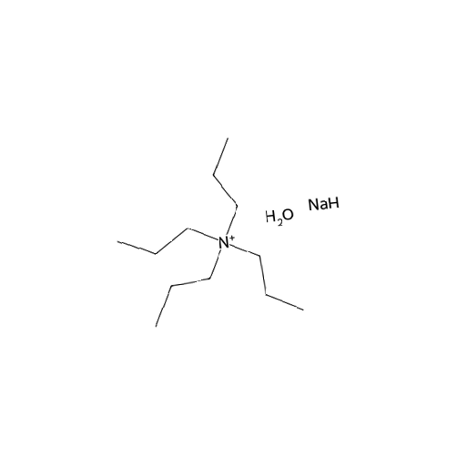 CCC[N+](CCC)(CCC)CCC.O.[NaH]